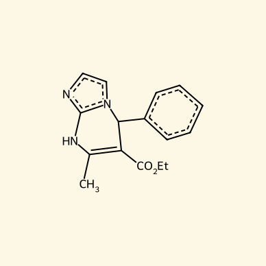 CCOC(=O)C1=C(C)Nc2nccn2C1c1ccccc1